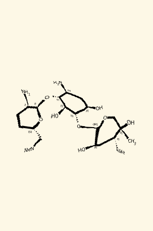 CNC[C@@H]1CC[C@@H](N)[C@@H](O[C@H]2[C@H](O)[C@@H](O[C@H]3OC[C@](C)(O)[C@H](NC)[C@H]3O)[C@H](O)C[C@@H]2N)O1